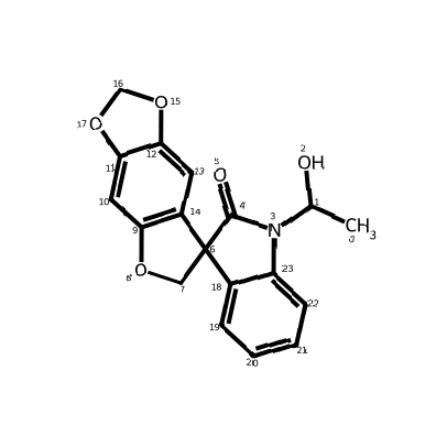 CC(O)N1C(=O)C2(COc3cc4c(cc32)OCO4)c2ccccc21